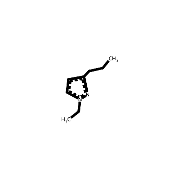 CCCc1ccn(CC)n1